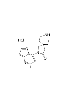 Cc1cc(N2CC3(CCNCC3)CC2=O)n2nccc2n1.Cl